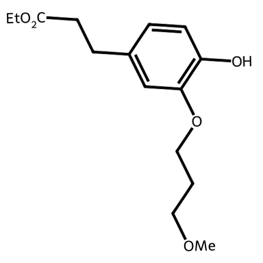 CCOC(=O)CCc1ccc(O)c(OCCCOC)c1